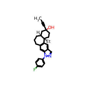 CC#C[C@]1(O)CC[C@]2(CC)c3cc4cnn(-c5ccc(F)cc5)c4cc3CCC[C@H]2C1